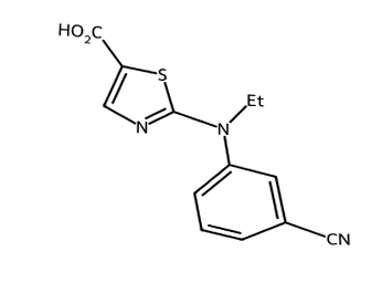 CCN(c1cccc(C#N)c1)c1ncc(C(=O)O)s1